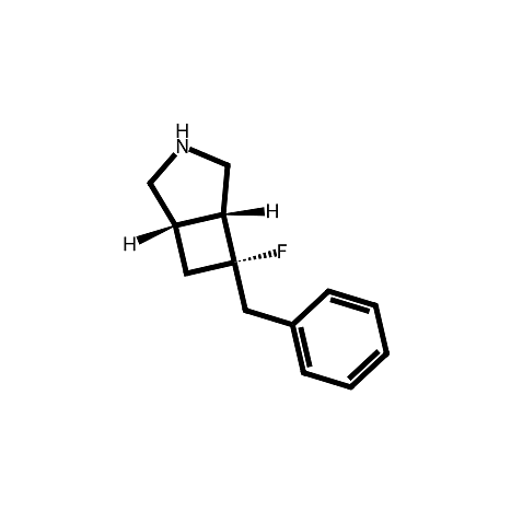 F[C@]1(Cc2ccccc2)C[C@@H]2CNC[C@@H]21